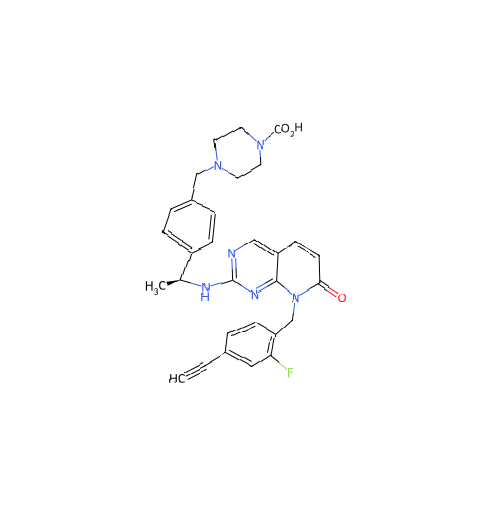 C#Cc1ccc(Cn2c(=O)ccc3cnc(N[C@@H](C)c4ccc(CN5CCN(C(=O)O)CC5)cc4)nc32)c(F)c1